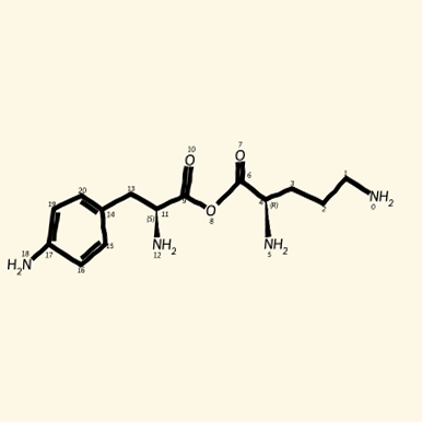 NCCC[C@@H](N)C(=O)OC(=O)[C@@H](N)Cc1ccc(N)cc1